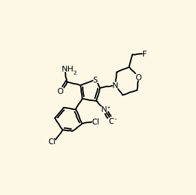 [C-]#[N+]c1c(N2CCOC(CF)C2)sc(C(N)=O)c1-c1ccc(Cl)cc1Cl